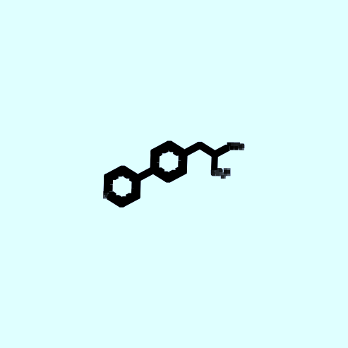 CNC(Cc1ccc(-c2ccncc2)cc1)C(=O)O